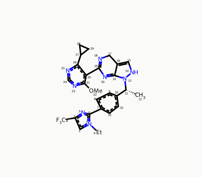 CCn1cc(C(F)(F)F)nc1-c1ccc([C@@H](C)N2NC=C3CN=C(c4c(OC)ncnc4C4CC4)N=C32)cc1